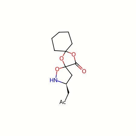 CC(=O)C[C@@H]1CC2(ON1)OC1(CCCCC1)OC2=O